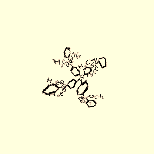 CO[Si](OC)(c1ccccc1)c1ccc([Si](c2ccc([Si](OC)(OC)c3ccccc3)cc2)(c2ccc([Si](OC)(OC)c3ccccc3)cc2)c2ccc([Si](OC)(OC)c3ccccc3)cc2)cc1